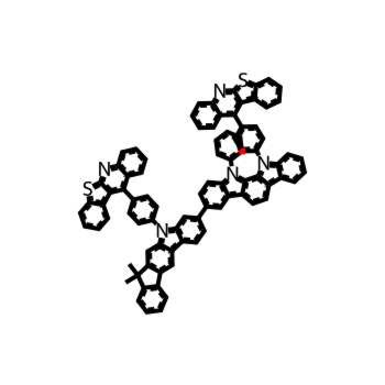 CC1(C)c2ccccc2-c2cc3c4ccc(-c5ccc6c(c5)c5ccc7c8ccccc8n(-c8ccc(-c9c%10ccccc%10nc%10sc%11ccccc%11c9%10)cc8)c7c5n6-c5ccccc5)cc4n(-c4ccc(-c5c6ccccc6nc6sc7ccccc7c56)cc4)c3cc21